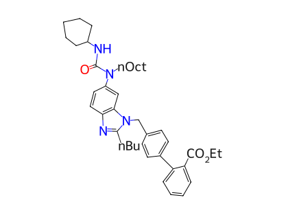 CCCCCCCCN(C(=O)NC1CCCCC1)c1ccc2nc(CCCC)n(Cc3ccc(-c4ccccc4C(=O)OCC)cc3)c2c1